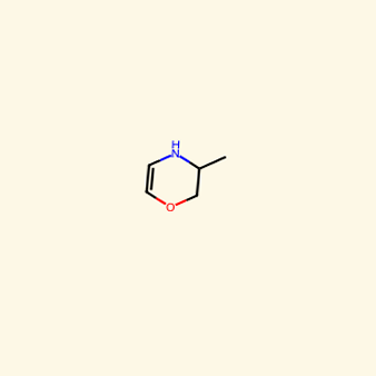 CC1COC=CN1